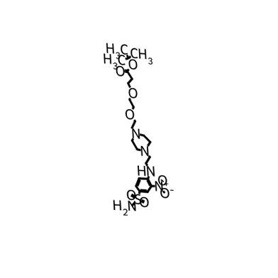 CC(C)(C)OC(=O)CCOCCOCCN1CCN(CCNc2ccc(S(N)(=O)=O)cc2[N+](=O)[O-])CC1